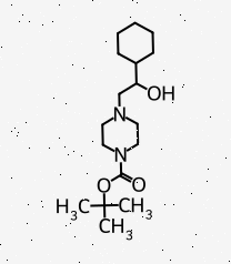 CC(C)(C)OC(=O)N1CCN(CC(O)C2CCCCC2)CC1